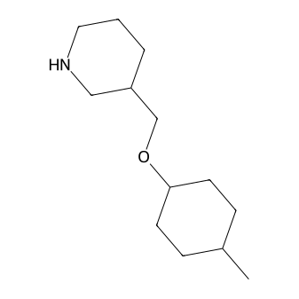 CC1CCC(OCC2CCCNC2)CC1